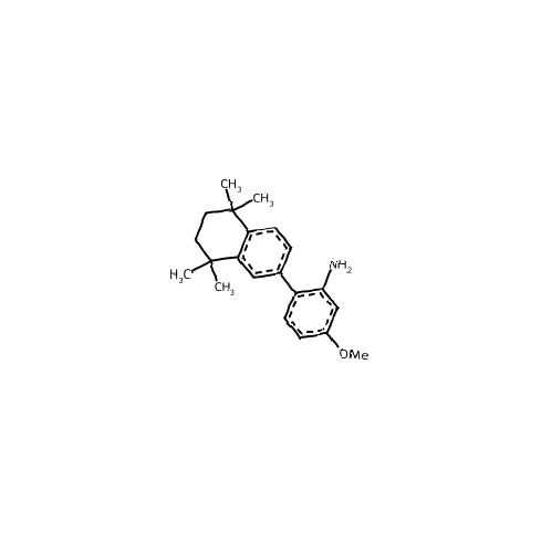 COc1ccc(-c2ccc3c(c2)C(C)(C)CCC3(C)C)c(N)c1